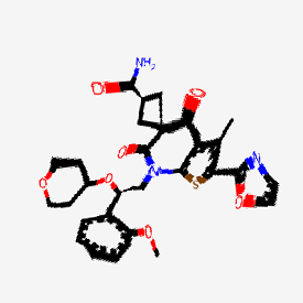 COc1ccccc1[C@H](CN1c2sc(-c3ncco3)c(C)c2C(=O)[C@]2(C[C@H](C(N)=O)C2)C1=O)OC1CCOCC1